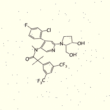 CN(C(=O)C(C)(C)c1cc(C(F)(F)F)cc(C(F)(F)F)c1)c1cnc(N2CCC(O)C2CO)cc1-c1ccc(F)cc1Cl